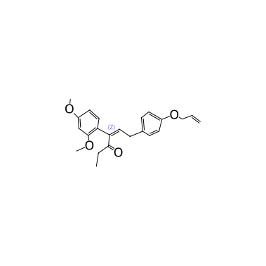 C=CCOc1ccc(C/C=C(\C(=O)CC)c2ccc(OC)cc2OC)cc1